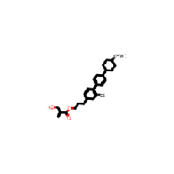 C=C(CO)C(=O)OCCCc1ccc(-c2ccc(C3CCC(CCCCC)CC3)cc2)c(CC)c1